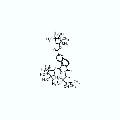 CC1(C)CC(OC(=O)c2ccc3c(C(=O)OC4CC(C)(C)N(O)C4(C)C)c(C(=O)OC4CC(C)(C)N(O)C4(C)C)ccc3c2)C(C)(C)N1O